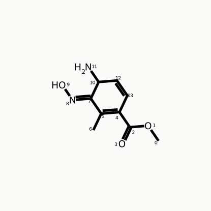 COC(=O)C1=C(C)C(=NO)C(N)C=C1